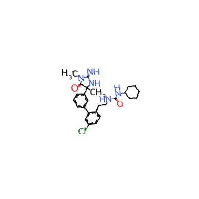 CN1C(=N)NC(C)(c2cccc(-c3cc(Cl)ccc3CCNC(=O)NC3CCCCC3)c2)C1=O